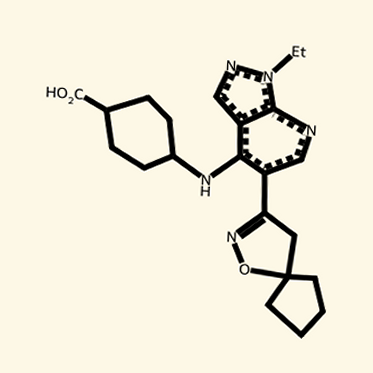 CCn1ncc2c(NC3CCC(C(=O)O)CC3)c(C3=NOC4(CCCC4)C3)cnc21